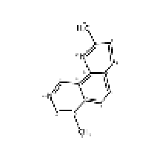 Cc1ccc2ccc3c(C)cncc3c2n1